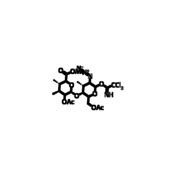 COC(=O)C1O[C@@H](O[C@@H]2C(COC(C)=O)OC(OC(=N)C(Cl)(Cl)Cl)C(N=[N+]=[N-])[C@H]2C)C(OC(C)=O)[C@@H](C)[C@@H]1C